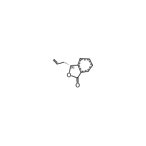 C=CC[C@H]1OC(=O)c2ccccc21